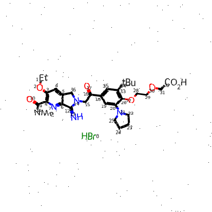 Br.CCOc1cc2c(nc1C(=O)NC)C(=N)N(CC(=O)c1cc(N3CCCC3)c(OCCOCC(=O)O)c(C(C)(C)C)c1)C2